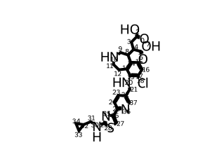 O=C(O)CC(C(=O)O)C1CNCCc2c1ccc(Cl)c2NCc1ccc(-c2csc(NCC3CC3)n2)nc1